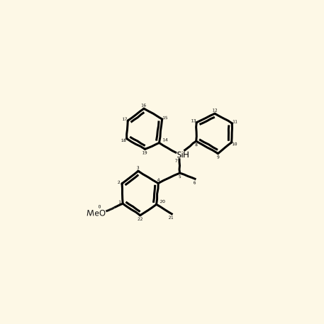 COc1ccc(C(C)[SiH](c2ccccc2)c2ccccc2)c(C)c1